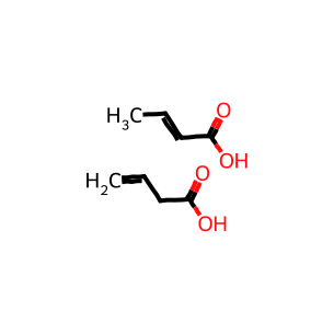 C=CCC(=O)O.CC=CC(=O)O